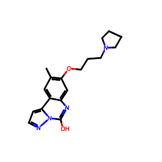 Cc1cc2c(cc1OCCCN1CCCC1)nc(O)n1nccc21